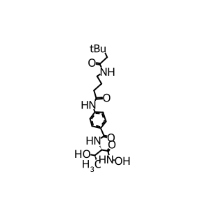 C[C@@H](O)[C@H](NC(=O)c1ccc(NC(=O)CCCNC(=O)CC(C)(C)C)cc1)C(=O)NO